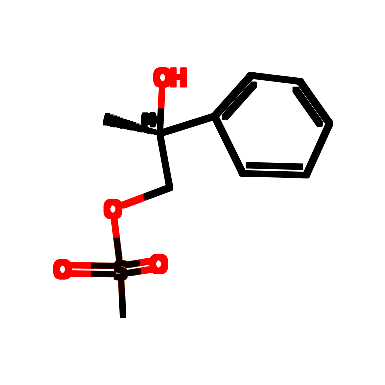 C[C@@](O)(COS(C)(=O)=O)c1ccccc1